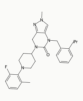 Cc1cccc(F)c1N1CCC(N2Cc3nn(C)cc3N(Cc3ccccc3C(C)C)C2=O)CC1